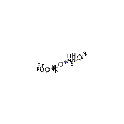 CN(C)c1ccc(CNC(=S)N/N=C/c2ccc(-c3ncn(-c4ccc(OC(F)(F)F)cc4)n3)cc2)cc1